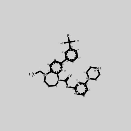 CCN1CCCN(C(=O)Nc2nccc(N3CCNCC3)n2)c2nc(-c3cccc(C(F)(F)F)c3)ccc21